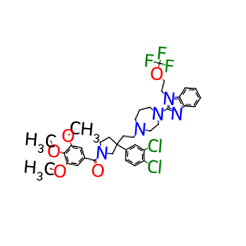 COc1cc(C(=O)N2CCC(CCN3CCCN(c4nc5ccccc5n4CCOC(F)(F)F)CC3)(c3ccc(Cl)c(Cl)c3)C2)cc(OC)c1OC